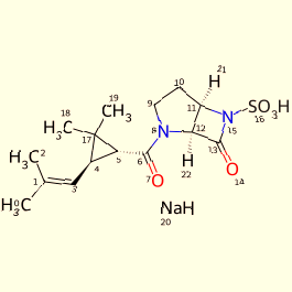 CC(C)=C[C@@H]1[C@@H](C(=O)N2CC[C@@H]3[C@H]2C(=O)N3S(=O)(=O)O)C1(C)C.[NaH]